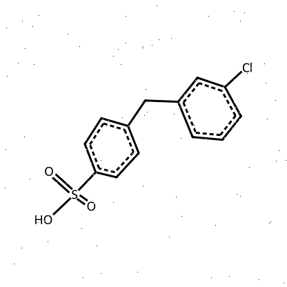 O=S(=O)(O)c1ccc(Cc2cccc(Cl)c2)cc1